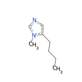 CCCCc1cncn1C